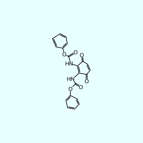 O=C(NC1=C(NC(=O)Oc2ccccc2)C(=O)C=CC1=O)Oc1ccccc1